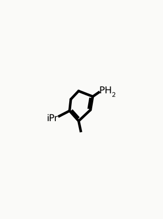 CC1=C(C(C)C)CCC(P)=C1